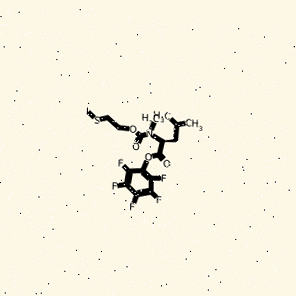 CC(C)C[C@@H](C(=O)Oc1c(F)c(F)c(F)c(F)c1F)N(C)C(=O)OCCSI